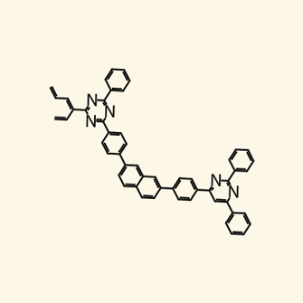 C=C/C=C(\C=C)c1nc(-c2ccccc2)nc(-c2ccc(-c3ccc4ccc(-c5ccc(-c6cc(-c7ccccc7)nc(-c7ccccc7)n6)cc5)cc4c3)cc2)n1